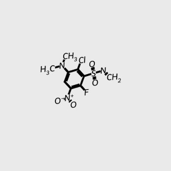 C=NS(=O)(=O)c1c(F)c([N+](=O)[O-])cc(N(C)C)c1Cl